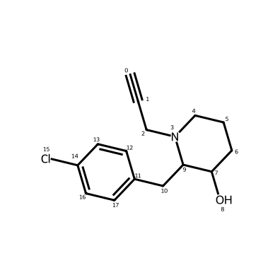 C#CCN1CCCC(O)C1Cc1ccc(Cl)cc1